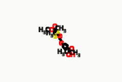 CCOC(=O)C(C)(C)SC(=S)OCCOc1ccc(C(=O)C(C)(C)O)cc1